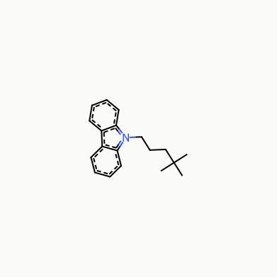 CC(C)(C)CCCn1c2ccccc2c2ccccc21